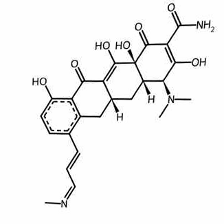 C/N=C\C=C\c1ccc(O)c2c1C[C@H]1C[C@H]3[C@H](N(C)C)C(O)=C(C(N)=O)C(=O)[C@@]3(O)C(O)=C1C2=O